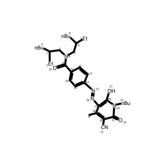 CCCCC(CC)CN(CC(CC)CCCC)C(=O)c1ccc(/N=N/c2c(C)c(C#N)c(=O)n(CCCC)c2O)cc1